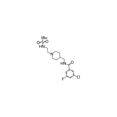 CC(C)(C)S(=O)(=O)NCCN1CCC(CNC(=O)c2cc(F)cc(Cl)c2)CC1